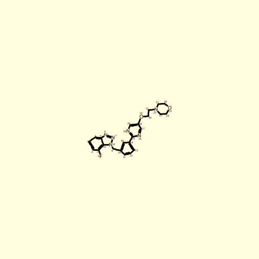 Fc1cccc2nnn(Cc3cccc(-c4ncc(OCCN5CCOCC5)cn4)c3)c12